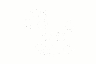 c1ccc(-c2nc(-c3ccccc3)nc(-c3cc(-c4cc(-c5ccccc5)c5c(ccc6ccccc65)n4)cc(-c4cccc5oc6ccccc6c45)c3)n2)cc1